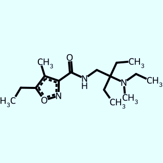 CCc1onc(C(=O)NCC(CC)(CC)N(C)CC)c1C